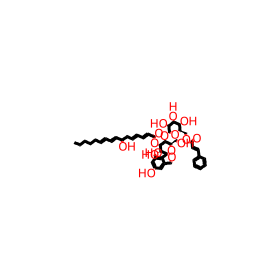 CCCCC/C=C/C=C/C(O)C/C=C/C=C/C(=O)O[C@H]1[C@H](O[C@@H]2O[C@H](COC(=O)/C=C/c3ccccc3)[C@H](O)[C@H](O)[C@H]2O)[C@@H](CO)O[C@]2(OCc3cc(O)cc(O)c32)[C@@H]1O